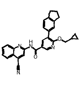 N#Cc1cc(NC(=O)c2cnc(OCC3CC3)c(-c3ccc4c(c3)CCC4)c2)nc2ccccc12